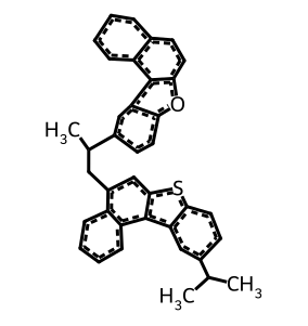 CC(C)c1ccc2sc3cc(CC(C)c4ccc5oc6ccc7ccccc7c6c5c4)c4ccccc4c3c2c1